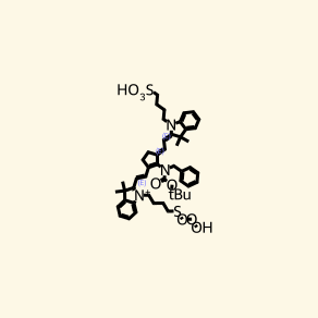 CC(C)(C)OC(=O)N(Cc1ccccc1)C1=C(/C=C/C2=[N+](CCCCSOOO)c3ccccc3C2(C)C)CC/C1=C\C=C1\N(CCCCS(=O)(=O)O)c2ccccc2C1(C)C